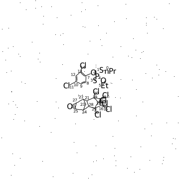 CCCSP(=S)(OCC)Oc1ccc(Cl)cc1Cl.ClC1=C(Cl)C2(Cl)C3C4CC(C5OC45)C3C1(Cl)C2(Cl)Cl